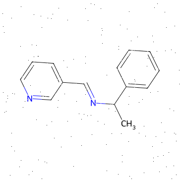 CC(N=Cc1cccnc1)c1ccccc1